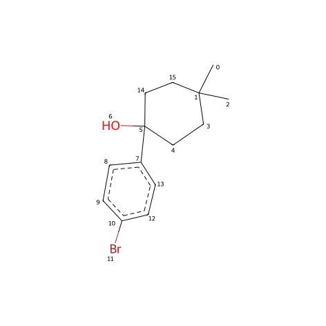 CC1(C)CCC(O)(c2ccc(Br)cc2)CC1